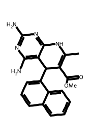 COC(=O)C1=C(C)Nc2nc(N)nc(N)c2C1c1cccc2ccccc12